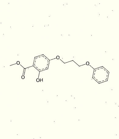 COC(=O)c1ccc(OCCCOc2ccccc2)cc1O